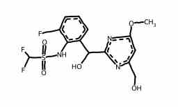 COc1cc(CO)nc(C(O)c2cccc(F)c2NS(=O)(=O)C(F)F)n1